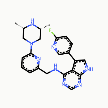 C[C@@H]1CN(c2cccc(CNc3ncnc4[nH]cc(-c5ccc(F)nc5)c34)n2)C[C@H](C)N1